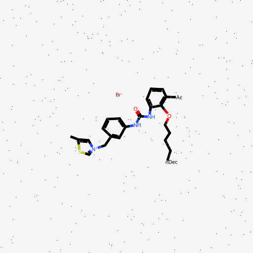 CCCCCCCCCCCCCCOc1c(NC(=O)Nc2cccc(C[n+]3csc(C)c3)c2)cccc1C(C)=O.[Br-]